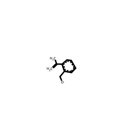 C=C(C)c1ccccc1C[O]